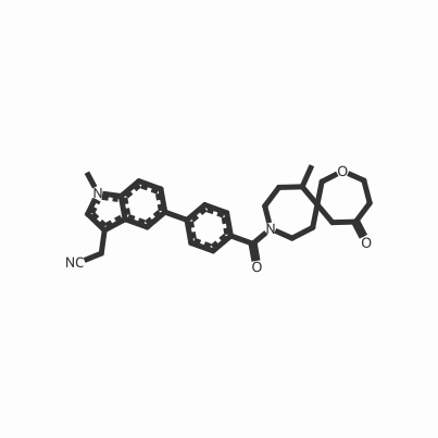 CC1CCN(C(=O)c2ccc(-c3ccc4c(c3)c(CC#N)cn4C)cc2)CCC12COCCC(=O)C2